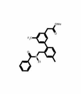 CCN(Cc1cc(C)ccc1-c1cc(CC(=O)OC)cc(C(F)(F)F)c1)C(=O)c1ccccc1